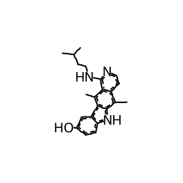 Cc1c2ccnc(NCCC(C)C)c2c(C)c2c1[nH]c1ccc(O)cc12